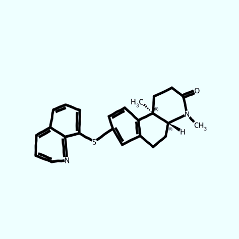 CN1C(=O)CC[C@]2(C)c3ccc(Sc4cccc5cccnc45)cc3CC[C@@H]12